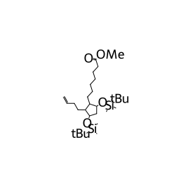 C=CCCC1C(O[Si](C)(C)C(C)(C)C)CC(O[Si](C)(C)C(C)(C)C)C1CCCCCCC(=O)OC